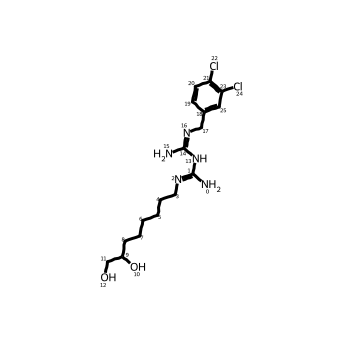 NC(=NCCCCCCC(O)CO)NC(N)=NCc1ccc(Cl)c(Cl)c1